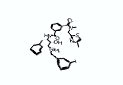 Cc1csc(CN(C)C(=O)c2cccc(C(=O)N[C@@H](Cc3ccccc3)[C@H](O)CNCc3cccc(I)c3)c2)n1